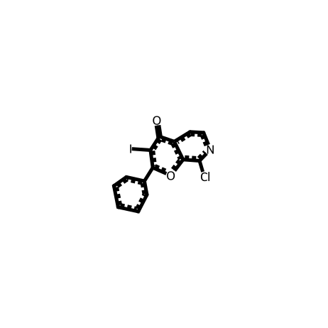 O=c1c(I)c(-c2ccccc2)oc2c(Cl)nccc12